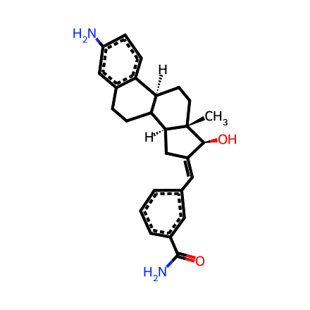 C[C@]12CC[C@@H]3c4ccc(N)cc4CCC3[C@@H]1C/C(=C\c1cccc(C(N)=O)c1)[C@@H]2O